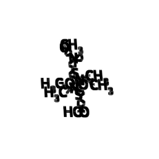 CCCCC(CC)CN1C(=O)C2=C(c3ccc(-c4ccc5c(c4)c4ccccc4n5-c4ccc(OC)cc4)s3)N(CC(CC)CCCC)C(=O)C2=C1c1ccc(-c2ccc(C(=O)O)cc2)s1